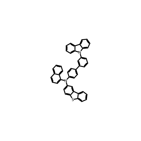 c1cc(-c2ccc(N(c3ccc4sc5ccccc5c4c3)c3cccc4ccccc34)cc2)cc(-n2c3ccccc3c3ccccc32)c1